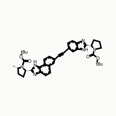 C[C@H]1CC[C@@H](c2nc3ccc4cc(C#Cc5ccc6nc([C@@H]7CCCN7C(=O)OC(C)(C)C)[nH]c6c5)ccc4c3[nH]2)N1C(=O)OC(C)(C)C